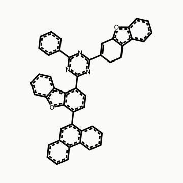 C1=C(c2nc(-c3ccccc3)nc(-c3ccc(-c4cc5ccccc5c5ccccc45)c4oc5ccccc5c34)n2)CCc2c1oc1ccccc21